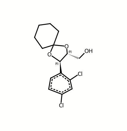 OC[C@H]1OC2(CCCCC2)O[C@@H]1c1ccc(Cl)cc1Cl